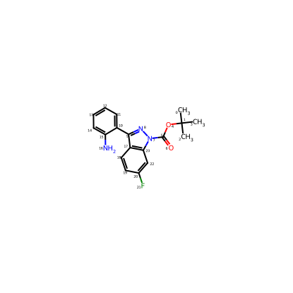 CC(C)(C)OC(=O)n1nc(-c2ccccc2N)c2ccc(F)cc21